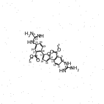 COC(=O)c1cc(NC(=N)N)ccc1-c1ccc(-c2ccc(NC(=N)N)cc2C(=O)OC)o1